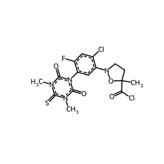 Cn1c(=S)n(C)c(=O)n(-c2cc(N3CCC(C)(C(=O)Cl)O3)c(Cl)cc2F)c1=O